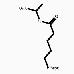 CCCCCCCCCCCC(=O)OC(C)C=O